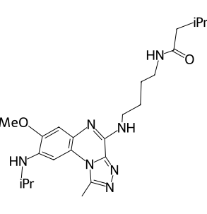 COc1cc2nc(NCCCCNC(=O)CC(C)C)c3nnc(C)n3c2cc1NC(C)C